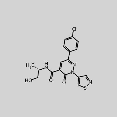 C[C@@H](CO)NC(=O)c1cc(-c2ccc(Cl)cc2)nn(-c2cnsc2)c1=O